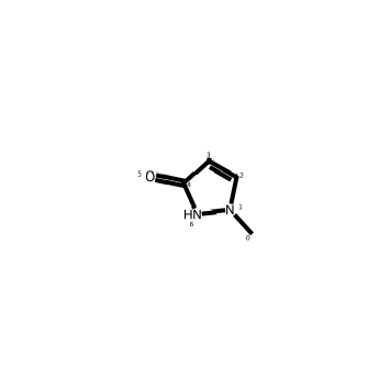 Cn1[c][c]c(=O)[nH]1